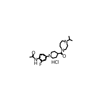 CC(=O)Nc1ccc(N2CCC(C(=O)N3CCCN(C(C)C)CC3)CC2)cc1F.Cl